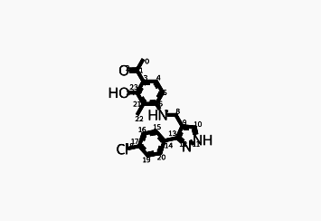 CC(=O)c1ccc(NCc2c[nH]nc2-c2ccc(Cl)cc2)c(C)c1O